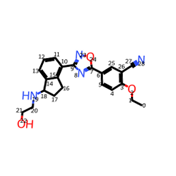 CCOc1ccc(-c2nc(-c3cccc4c3CCC4NCCO)no2)cc1C#N